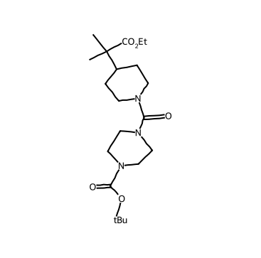 CCOC(=O)C(C)(C)C1CCN(C(=O)N2CCN(C(=O)OC(C)(C)C)CC2)CC1